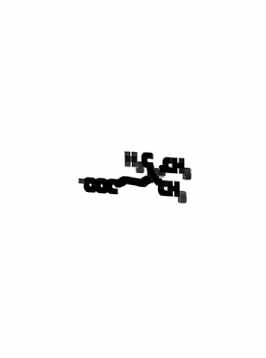 C[N+](C)(C)CCC(=O)[O-]